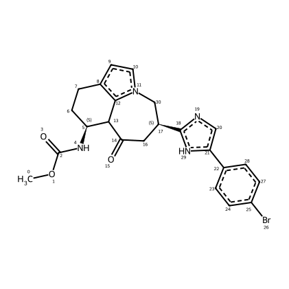 COC(=O)N[C@H]1CCc2ccn3c2C1C(=O)C[C@H](c1ncc(-c2ccc(Br)cc2)[nH]1)C3